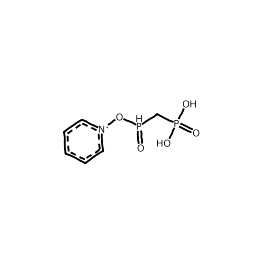 O=[PH](CP(=O)(O)O)O[n+]1ccccc1